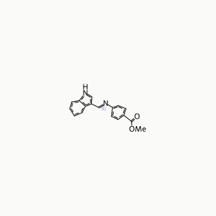 COC(=O)c1ccc(/N=C/c2c[nH]c3ccccc23)cc1